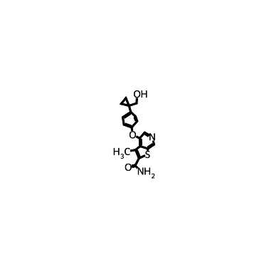 Cc1c(C(N)=O)sc2cncc(Oc3ccc(C4(CO)CC4)cc3)c12